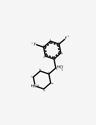 Cl.Fc1cc(F)cc(CC2CCNCC2)c1